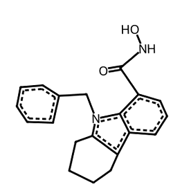 O=C(NO)c1cccc2c3c(n(Cc4ccccc4)c12)CCCC3